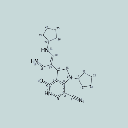 N#Cc1c[nH]c(=O)c2c1N(C1CCCC1)CC2/C(C=N)=C/NC1CCCC1